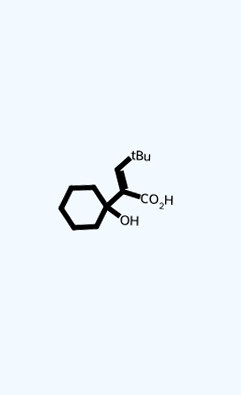 CC(C)(C)C=C(C(=O)O)C1(O)CCCCC1